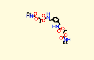 CCNC(=O)OCC(C)OC(=O)NCc1cccc(CNC(=O)OC(C)COC(=O)NCC)c1